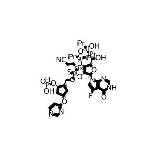 CC(C)[Si](O)(O[Si](O[C@H]1[C@@H](O[P@](=S)(OCCC#N)OC[C@H]2C[C@@H](Oc3ccncn3)C[C@@H]2O[PH](=O)O)[C@H](n2cc(F)c3c(=O)[nH]cnc32)O[C@@H]1CO)(C(C)C)C(C)C)C(C)C